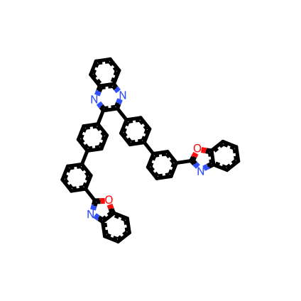 c1cc(-c2ccc(-c3nc4ccccc4nc3-c3ccc(-c4cccc(-c5nc6ccccc6o5)c4)cc3)cc2)cc(-c2nc3ccccc3o2)c1